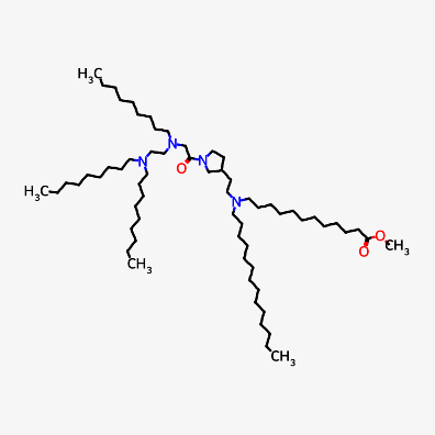 CCCCCCCCCCCCCCN(CCCCCCCCCCCC(=O)OC)CCC1CCN(C(=O)CN(CCCCCCCCC)CCN(CCCCCCCCC)CCCCCCCCC)C1